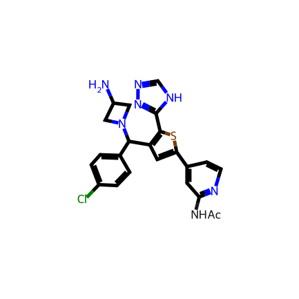 CC(=O)Nc1cc(-c2cc(C(c3ccc(Cl)cc3)N3CC(N)C3)c(-c3nnc[nH]3)s2)ccn1